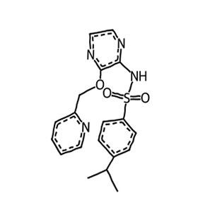 CC(C)c1ccc(S(=O)(=O)Nc2nccnc2OCc2ccccn2)cc1